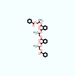 CC(COC(=O)c1ccccc1)OC(=O)c1ccccc1C(=O)OCC(C)OC(=O)c1ccccc1C(=O)OC(C)COC(=O)c1ccccc1